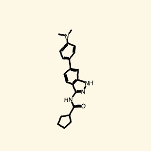 CN(C)c1ccc(-c2ccc3c(NC(=O)C4CCCC4)n[nH]c3c2)cc1